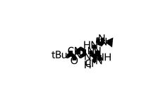 CC(C)(C)/C=C(\C#N)C(=O)N1CCC[C@@H](Nc2nc(Nc3cnn(C4CC4)c3)nc3[nH]nc(Cl)c23)C1